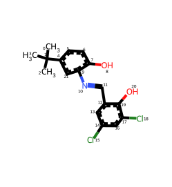 CC(C)(C)c1ccc(O)c(/N=C/c2cc(Cl)cc(Cl)c2O)c1